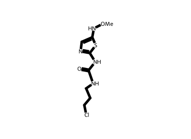 CONc1cnc(NC(=O)NCCCCl)s1